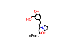 CCCCCC(O)CC(CCc1ccc(O)c(CO)c1)N1CCCC1